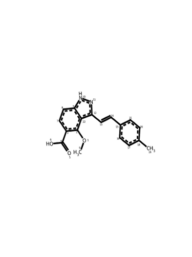 COc1c(C(=O)O)ccc2[nH]nc(C=Cc3ccc(C)cc3)c12